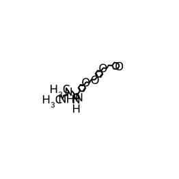 CNCCN(C)Cc1c[nH]nc1-c1ccc(OCCOc2ccc(OCCC3CCOCC3)cc2)cc1